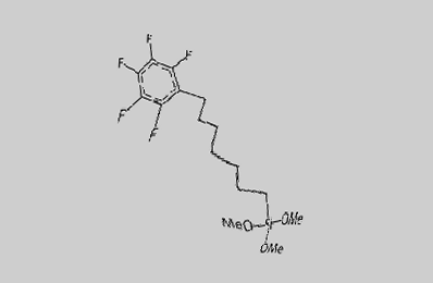 CO[Si](CCCCCCCc1c(F)c(F)c(F)c(F)c1F)(OC)OC